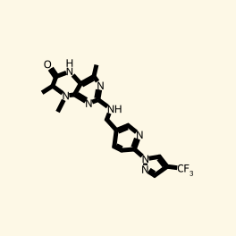 Cc1nc(NCc2ccc(-n3cc(C(F)(F)F)cn3)nc2)nc2c1NC(=O)C(C)N2C